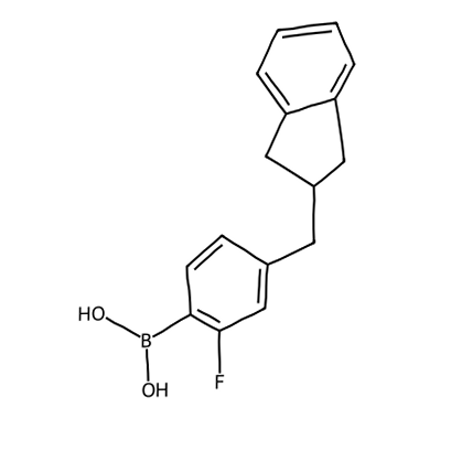 OB(O)c1ccc(CC2Cc3ccccc3C2)cc1F